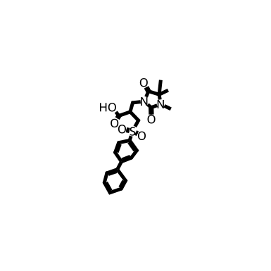 CN1C(=O)N(CC(CS(=O)(=O)c2ccc(-c3ccccc3)cc2)C(=O)O)C(=O)C1(C)C